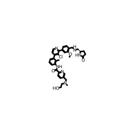 COc1cc(-c2nccc(-c3cccc(NC(=O)c4ccc(CN(C)CCO)cn4)c3C)c2Cl)ccc1CNC[C@H]1CCC(=O)N1